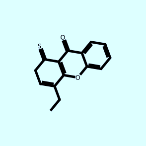 CCC1=CCC(=S)c2c1oc1ccccc1c2=O